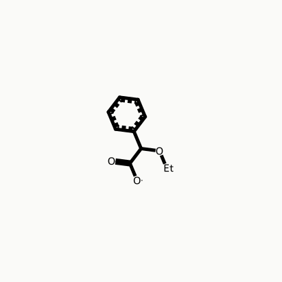 CCOC(C([O])=O)c1ccccc1